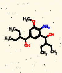 CCC(CC)C(O)c1cc(OC)c(N)c(C(O)C(CC)CC)c1